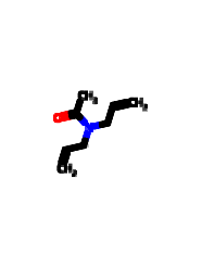 C=C[CH]N(CC=C)C(C)=O